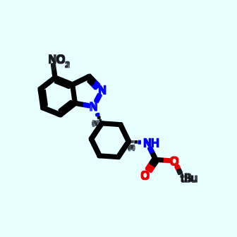 CC(C)(C)OC(=O)N[C@@H]1CCC[C@H](n2ncc3c([N+](=O)[O-])cccc32)C1